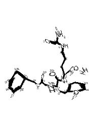 NC(=O)NCCC[C@H](NC(=O)[C@H](Cc1ccco1)NC(=O)OCc1ccccc1)C(=O)O